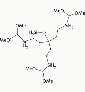 COC(OC)[SiH2]CCC(CC[SiH2]C(OC)OC)(CC[SiH2]C(OC)OC)O[SiH3]